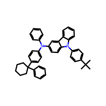 CC(C)(C)c1ccc(-n2c3ccccc3c3cc(N(c4ccccc4)c4ccc(C5(c6ccccc6)CCCCC5)cc4)ccc32)cc1